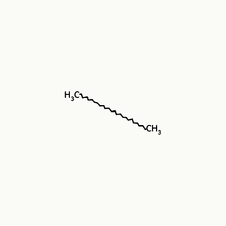 CCCCCCCCCCCCC=CCCCCCCCCCCCC